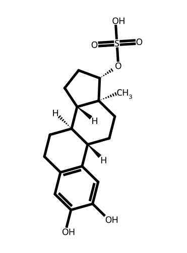 C[C@]12CC[C@@H]3c4cc(O)c(O)cc4CC[C@H]3[C@@H]1CC[C@@H]2OS(=O)(=O)O